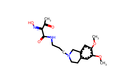 COc1cc2c(cc1OC)CN(CCCNC(=O)/C(=N/O)C(C)=O)CC2